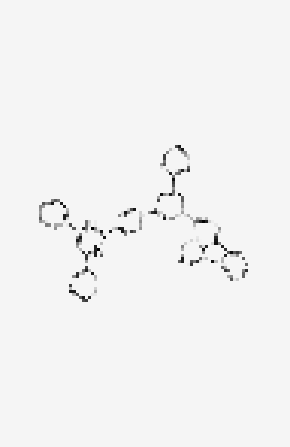 c1ccc(-c2cc(-c3ccc(-c4nc(-c5ccccc5)cc(-c5ccccc5)n4)cc3)cc(-c3ccc4c5c(cccc35)-c3ccccc3-4)c2)cc1